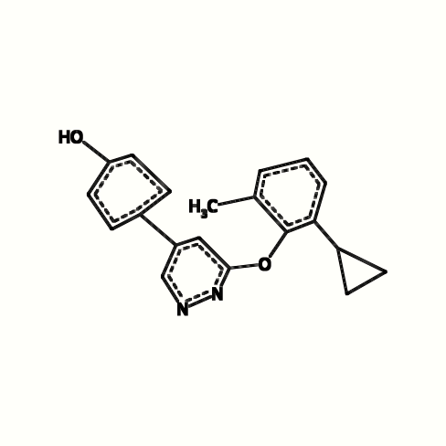 Cc1cccc(C2CC2)c1Oc1cc(-c2ccc(O)cc2)cnn1